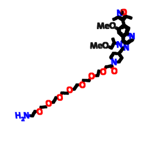 COCC(C)n1c(C2CCN(C(=O)COCCOCCOCCOCCOCCOCCOCCN)CC2)nc2cnc3cc(-c4c(C)noc4C)c(OC)cc3c21